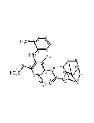 Cc1ccccc1Nc1c(CC(=O)O)cc([N+](=O)[O-])c(OC(=O)OC23CC4CC(CC(C4)C2)C3)c1F